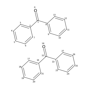 O=C(c1ccccc1)c1ccccc1.O=C(c1ccccc1)c1ccccc1